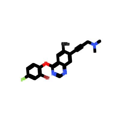 COc1cc2c(Oc3ccc(F)cc3Br)ncnc2cc1C#CCN(C)C